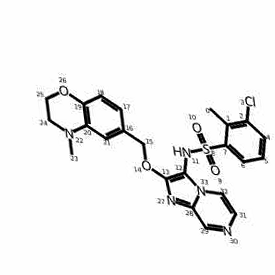 Cc1c(Cl)cccc1S(=O)(=O)Nc1c(OCc2ccc3c(c2)N(C)CCO3)nc2cnccn12